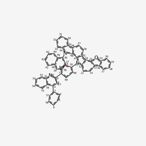 c1ccc(-c2nc(-c3ccc(-n4c5ccc6c7ccccc7oc6c5c5ccc6c7ccccc7n(-c7cccc8ccccc78)c6c54)cc3)nc3ccccc23)cc1